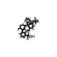 CC1CCC(Cc2nnn[nH]2)c2c1c1cccc(C(C)(C)O)c1n2Cc1ccc(SC(F)(F)F)cc1